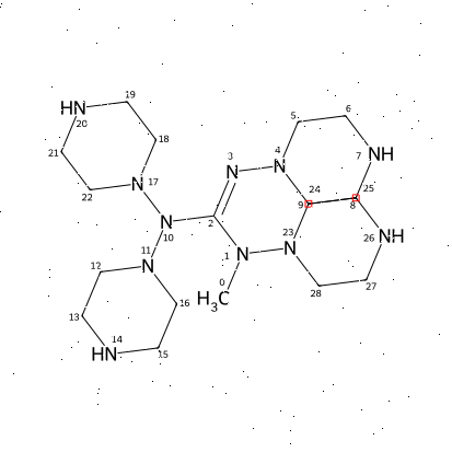 CN(C(=NN1CCNCC1)N(N1CCNCC1)N1CCNCC1)N1CCNCC1